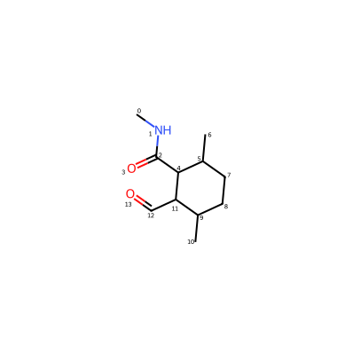 CNC(=O)C1C(C)CCC(C)C1C=O